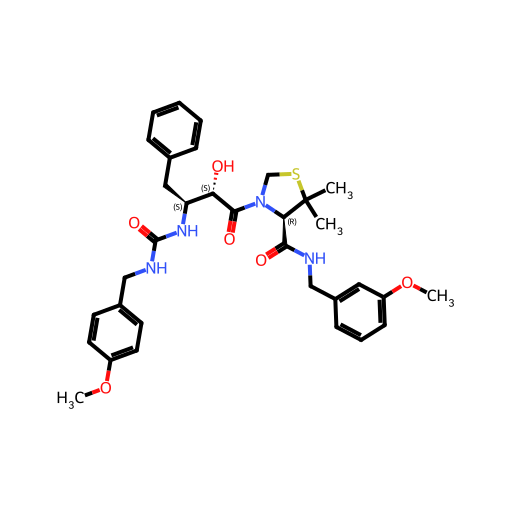 COc1ccc(CNC(=O)N[C@@H](Cc2ccccc2)[C@H](O)C(=O)N2CSC(C)(C)[C@H]2C(=O)NCc2cccc(OC)c2)cc1